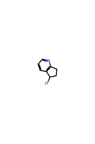 ClC1CCc2ncc[c]c21